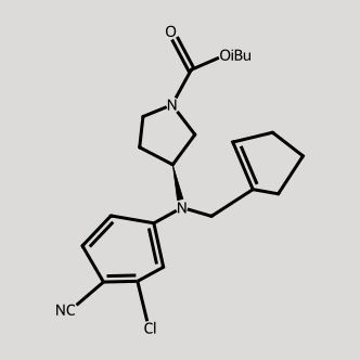 CC(C)COC(=O)N1CC[C@H](N(CC2=CCCC2)c2ccc(C#N)c(Cl)c2)C1